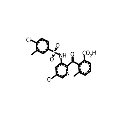 Cc1cc(S(=O)(=O)Nc2cc(Cl)cnc2C(=O)c2c(C)cccc2C(=O)O)ccc1Cl